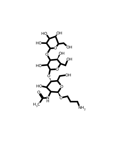 CC(=O)NC1C(O)[C@H](OC2OC(CO)[C@H](O)C(OC3OC(CO)[C@H](O)C(O)C3O)C2O)C(CO)O[C@H]1OCCCN